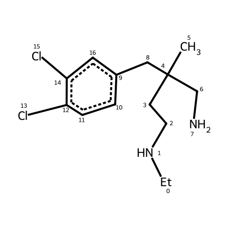 CCNCCC(C)(CN)Cc1ccc(Cl)c(Cl)c1